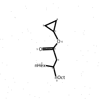 CCCCCCCCC(CCCCCC)CC(=O)OC1CC1